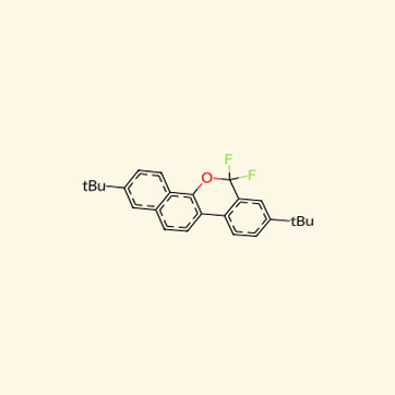 CC(C)(C)c1ccc2c(c1)C(F)(F)Oc1c-2ccc2cc(C(C)(C)C)ccc12